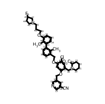 Cc1c(COc2cc(OCc3cncc(C#N)c3)c(CN3CCCCC3C(=O)O)cc2Cl)cccc1-c1cccc(OCCCN2CCC(F)C2)c1C